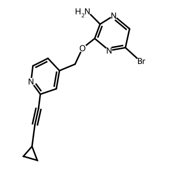 Nc1ncc(Br)nc1OCc1ccnc(C#CC2CC2)c1